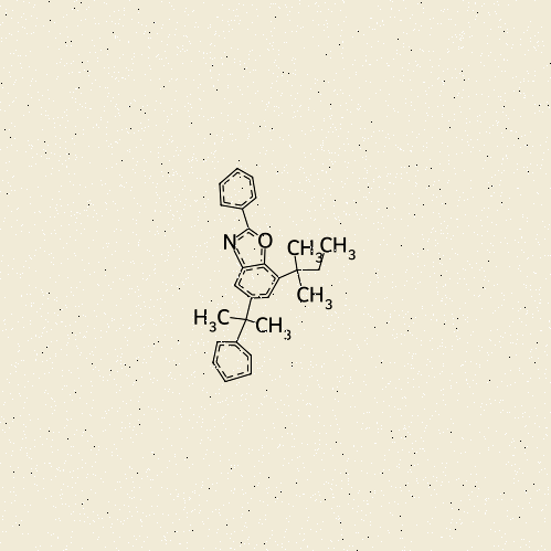 CCC(C)(C)c1cc(C(C)(C)c2ccccc2)cc2nc(-c3ccccc3)oc12